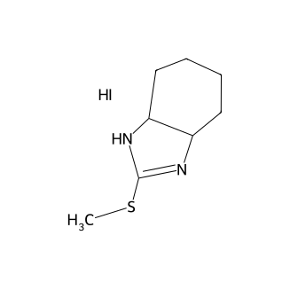 CSC1=NC2CCCCC2N1.I